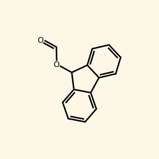 O=COC1c2ccccc2-c2ccccc21